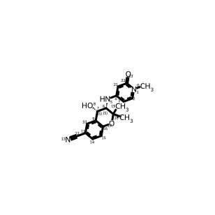 Cn1ccc(N[C@H]2[C@@H](O)c3cc(C#N)ccc3OC2(C)C)cc1=O